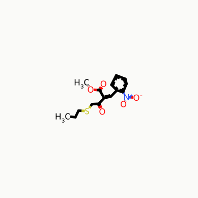 CCCSCC(=O)C(=Cc1ccccc1[N+](=O)[O-])C(=O)OC